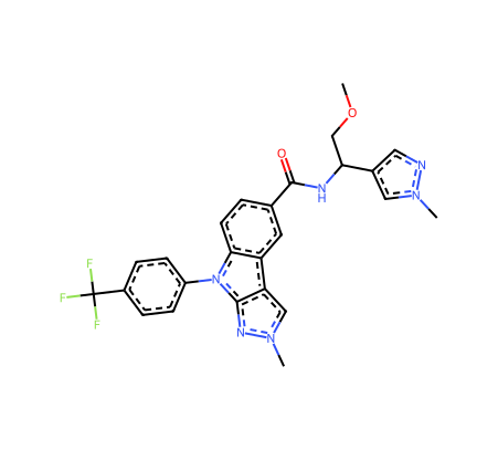 COCC(NC(=O)c1ccc2c(c1)c1cn(C)nc1n2-c1ccc(C(F)(F)F)cc1)c1cnn(C)c1